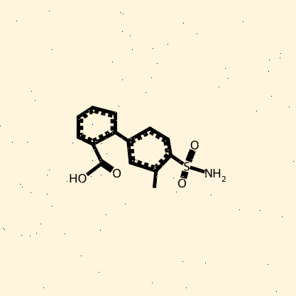 Cc1cc(-c2ccccc2C(=O)O)ccc1S(N)(=O)=O